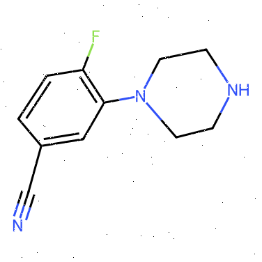 N#Cc1ccc(F)c(N2CCNCC2)c1